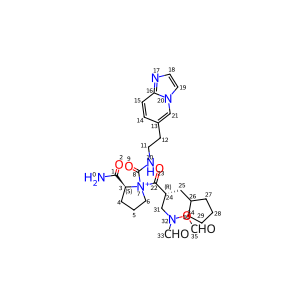 NC(=O)[C@@H]1CCC[N+]1(C(=O)NCCc1ccc2nccn2c1)C(=O)[C@H](CC1CCCC1)CN(C=O)OC=O